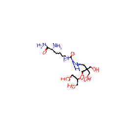 NC(=O)[C@H](N)CCCCNC(=O)NCC(CO)(CO)COC(CO)CO